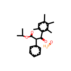 Cc1cc(C)c(C(=O)C(C(=O)OC(C)C)c2ccccc2)c(C)c1C.O=[PH3]